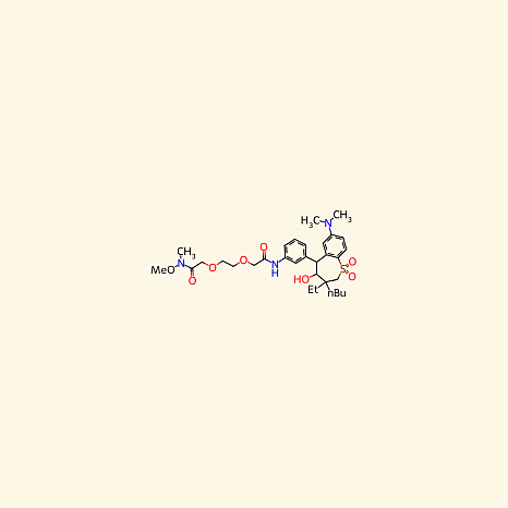 CCCCC1(CC)CS(=O)(=O)c2ccc(N(C)C)cc2C(c2cccc(NC(=O)COCCOCC(=O)N(C)OC)c2)C1O